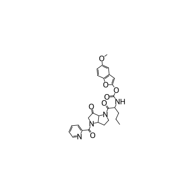 CCCC(NC(=O)Oc1cc2cc(OC)ccc2o1)C(=O)N1CCC2C1C(=O)CN2C(=O)c1ccccn1